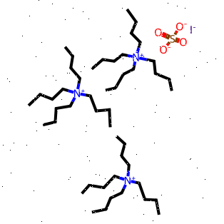 CCCC[N+](CCCC)(CCCC)CCCC.CCCC[N+](CCCC)(CCCC)CCCC.CCCC[N+](CCCC)(CCCC)CCCC.O=S(=O)([O-])[O-].[I-]